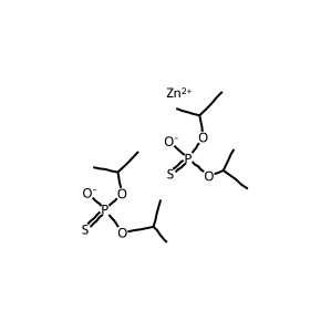 CC(C)OP([O-])(=S)OC(C)C.CC(C)OP([O-])(=S)OC(C)C.[Zn+2]